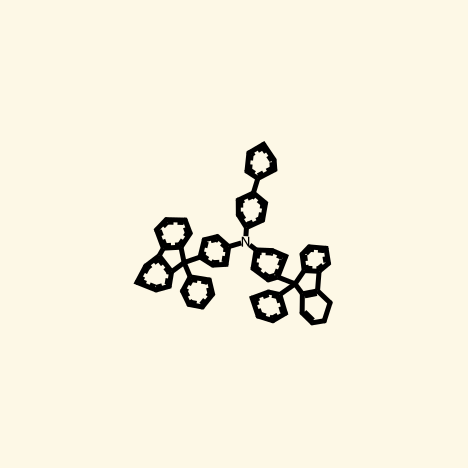 C1=CC2=C(CC1)c1ccccc1C2(c1ccccc1)c1ccc(N(c2ccc(-c3ccccc3)cc2)c2ccc(C3(c4ccccc4)c4ccccc4-c4ccccc43)cc2)cc1